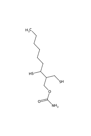 CCCCCCC(S)C(CS)COC(N)=O